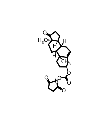 C[C@]12CC[C@H](OC(=O)ON3C(=O)CCC3=O)CC1=CC[C@@H]1[C@@H]2CC[C@]2(C)C(=O)CC[C@@H]12